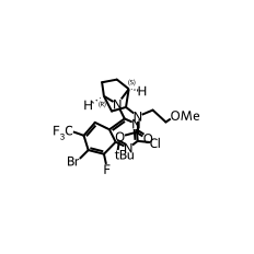 COCCN(C(=O)OC(C)(C)C)C1C[C@H]2CC[C@@H]1N2c1nc(Cl)nc2c(F)c(Br)c(C(F)(F)F)cc12